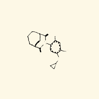 O=C1C2=CC(CCC2)C(=O)N1c1cc(OC2CC2)c(Cl)cc1F